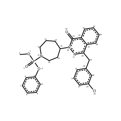 COP(=O)(Oc1ccccc1)N1CCCC(n2nc(Cc3cccc(Cl)c3)c3ccccc3c2=O)CC1